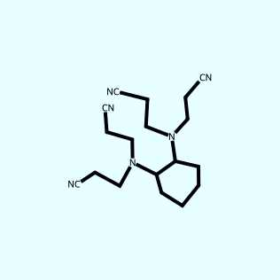 N#CCCN(CCC#N)C1CCCCC1N(CCC#N)CCC#N